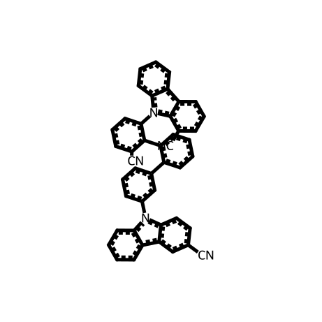 N#Cc1ccc2c(c1)c1ccccc1n2-c1cccc(-c2ccccc2-c2c(C#N)cccc2-n2c3ccccc3c3cccc(C#N)c32)c1